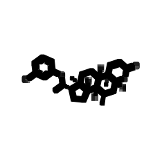 CC(Oc1cccc(Cl)c1)[C@H]1CC[C@H]2[C@@H]3[C@H](C)C[C@H]4SC(=O)C=C[C@]4(C)[C@H]3CC[C@]12C